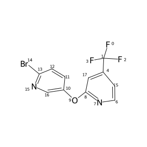 FC(F)(F)c1[c]cnc(Oc2ccc(Br)nc2)c1